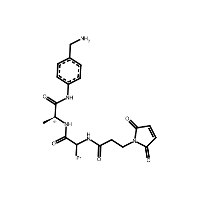 CC(C)C(NC(=O)CCN1C(=O)C=CC1=O)C(=O)N[C@@H](C)C(=O)Nc1ccc(CN)cc1